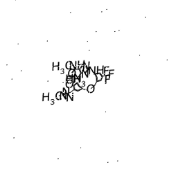 CNC(=O)c1cnc2nc1Nc1cc(cc(-c3ncn(C)n3)c1OC)COCc1cc(cc(C(F)(F)F)c1)N2